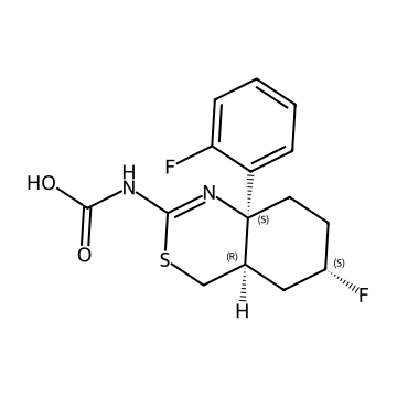 O=C(O)NC1=N[C@@]2(c3ccccc3F)CC[C@H](F)C[C@H]2CS1